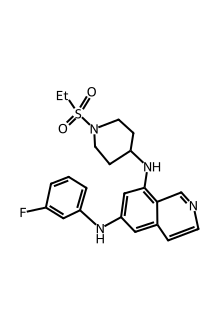 CCS(=O)(=O)N1CCC(Nc2cc(Nc3cccc(F)c3)cc3ccncc23)CC1